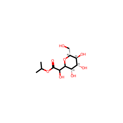 CC(C)OC(=O)C(O)C1O[C@H](CO)[C@@H](O)[C@H](O)[C@@H]1O